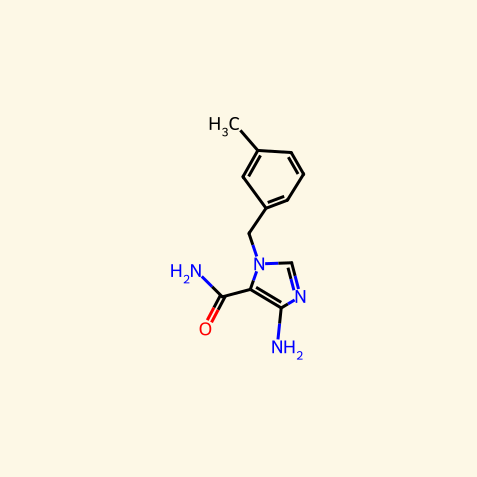 Cc1cccc(Cn2cnc(N)c2C(N)=O)c1